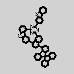 c1ccc(-c2nc(-c3ccc4c(c3)sc3ccccc34)nc(-c3cccc4oc5ccc(-c6ccc(-c7cccc8c7-c7ccccc7C87c8ccccc8-c8ccccc87)cc6)cc5c34)n2)cc1